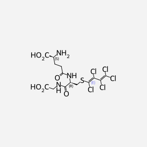 N[C@@H](CCC(=O)N[C@@H](CS/C(Cl)=C(\Cl)C(Cl)=C(Cl)Cl)C(=O)NCC(=O)O)C(=O)O